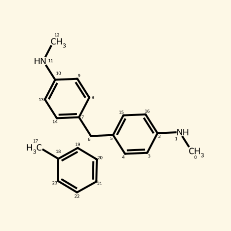 CNc1ccc(Cc2ccc(NC)cc2)cc1.Cc1ccccc1